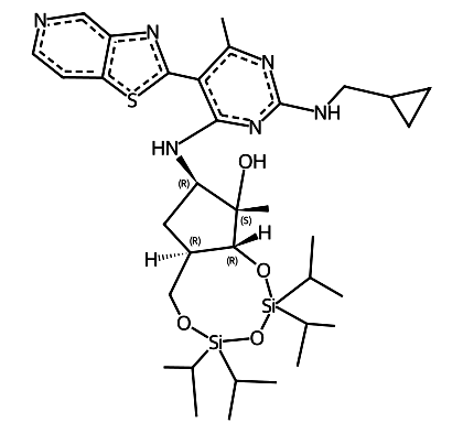 Cc1nc(NCC2CC2)nc(N[C@@H]2C[C@@H]3CO[Si](C(C)C)(C(C)C)O[Si](C(C)C)(C(C)C)O[C@H]3[C@@]2(C)O)c1-c1nc2cnccc2s1